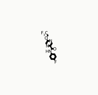 O=C(Nc1ccc(F)cc1)c1cnc(OCC(F)(F)F)cn1